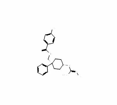 CN/C(=N\C#N)N[C@H]1CC[C@](CNC(=O)c2ccc(C#N)cc2)(c2ccccc2)CC1